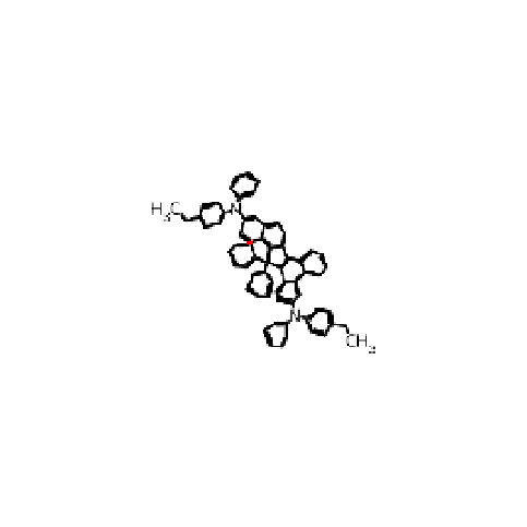 CCc1ccc(N(c2ccccc2)c2ccc3c4c(ccc3c2)-c2c(c3ccc(N(c5ccccc5)c5ccc(CC)cc5)cc3c3ccccc23)C4(c2ccccc2)c2ccccc2)cc1